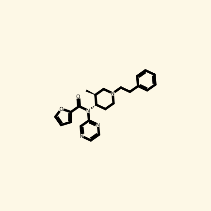 C[C@H]1CN(CCc2ccccc2)CC[C@@H]1N(C(=O)c1ccco1)c1cnccn1